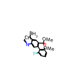 BCc1cc(C(=O)OC)c(-c2c(F)cccc2OC)cc1/N=C\C